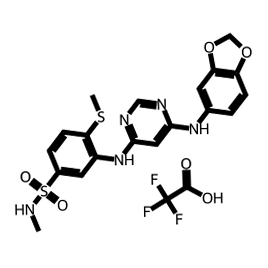 CNS(=O)(=O)c1ccc(SC)c(Nc2cc(Nc3ccc4c(c3)OCO4)ncn2)c1.O=C(O)C(F)(F)F